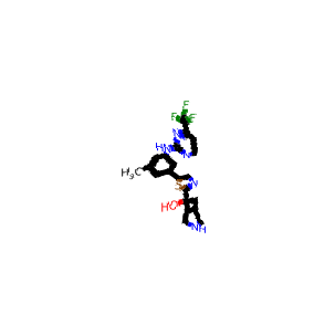 Cc1cc(Nc2nccc(C(F)(F)F)n2)cc(-c2cnc(C3(O)CC4CNCC43)s2)c1